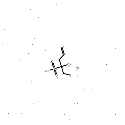 C=CCC(O)(CC)S(=O)(=O)[O-].[Na+]